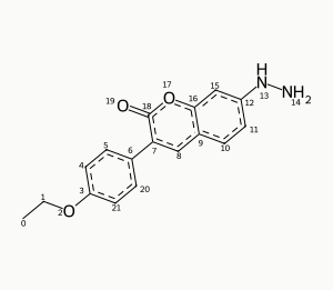 CCOc1ccc(-c2cc3ccc(NN)cc3oc2=O)cc1